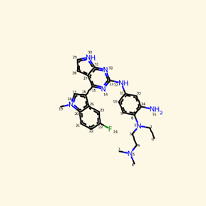 CCN(CCN(C)C)c1ccc(Nc2nc(-c3cn(C)c4ccc(F)cc34)c3cc[nH]c3n2)cc1N